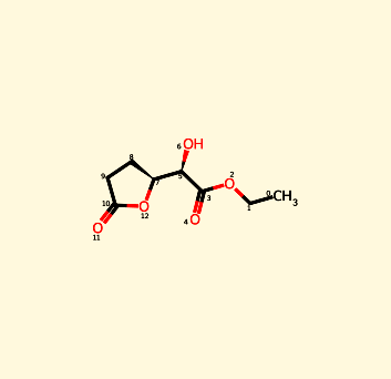 CCOC(=O)[C@H](O)[C@@H]1CCC(=O)O1